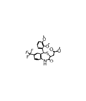 COC(=O)CC1SC(c2cccc(OC)c2OC)c2cc(C(F)(F)F)ccc2NC1=O